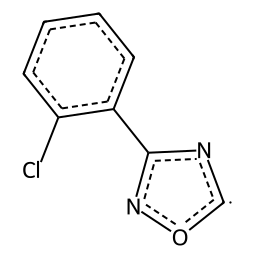 Clc1ccccc1-c1n[c]on1